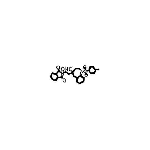 Cc1ccc(S(=O)(=O)N2CCC(C=O)(CCN3C(=O)c4ccccc4C3=O)Cc3ccccc32)cc1